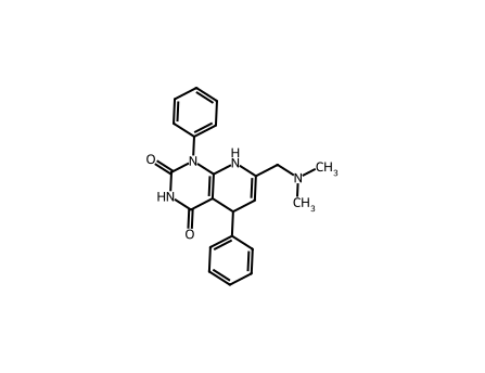 CN(C)CC1=CC(c2ccccc2)c2c(n(-c3ccccc3)c(=O)[nH]c2=O)N1